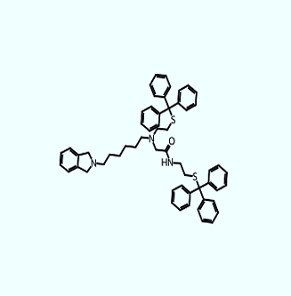 O=C(CN(CCCCCCN1Cc2ccccc2C1)CCSC(c1ccccc1)(c1ccccc1)c1ccccc1)NCCSC(c1ccccc1)(c1ccccc1)c1ccccc1